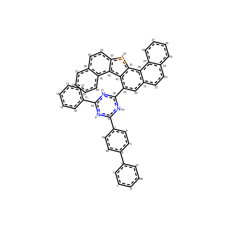 c1ccc(-c2ccc(-c3nc(-c4ccccc4)nc(-c4cc5ccc6ccccc6c5c5sc6ccc7ccccc7c6c45)n3)cc2)cc1